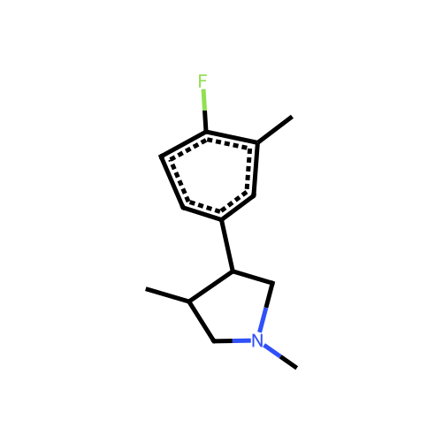 Cc1cc(C2CN(C)CC2C)ccc1F